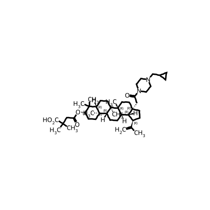 C=C(C)[C@@H]1CC[C@]2(CC(=O)N3CCN(CC4CC4)CC3)CC[C@]3(C)[C@H](CC[C@@H]4[C@@]5(C)CC[C@H](OC(=O)CC(C)(C)C(=O)O)C(C)(C)[C@@H]5CC[C@]43C)[C@@H]12